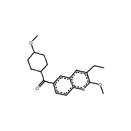 CCc1cc2cc(C(=O)C3CCC(OC)CC3)ccc2nc1OC